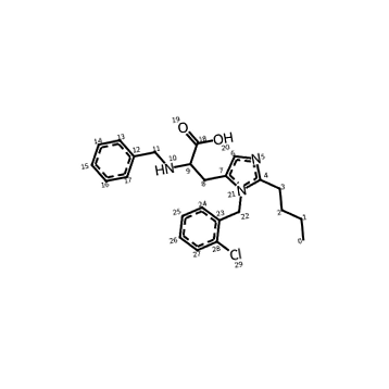 CCCCc1ncc(CC(NCc2ccccc2)C(=O)O)n1Cc1ccccc1Cl